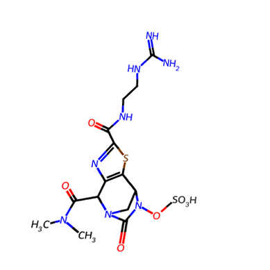 CN(C)C(=O)C1c2nc(C(=O)NCCNC(=N)N)sc2C2CN1C(=O)N2OS(=O)(=O)O